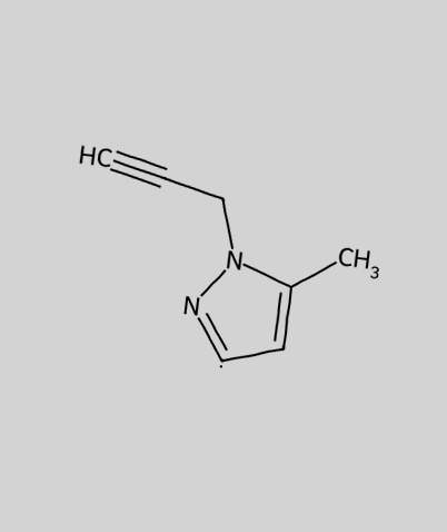 C#CCn1n[c]cc1C